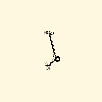 O=C(O)CCCCCCCCCCOc1ccccc1OCCCC(=O)O